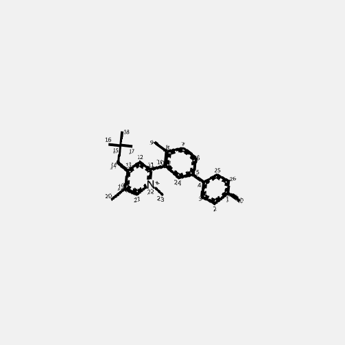 Cc1ccc(-c2ccc(C)c(-c3cc(CC(C)(C)C)c(C)c[n+]3C)c2)cc1